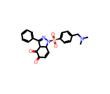 CN(C)Cc1ccc(S(=O)(=O)N2N=C(c3ccccc3)C3C(=O)C(=O)C=CC32)cc1